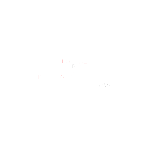 COCCOCCOCCO.OB(O)O